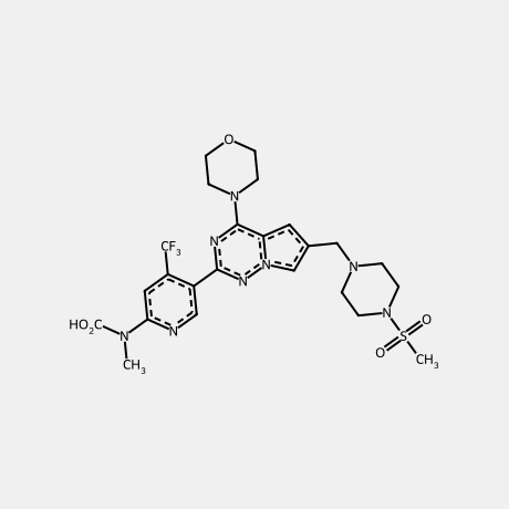 CN(C(=O)O)c1cc(C(F)(F)F)c(-c2nc(N3CCOCC3)c3cc(CN4CCN(S(C)(=O)=O)CC4)cn3n2)cn1